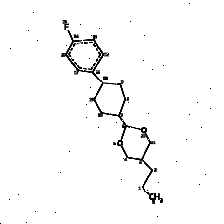 CCCC1COC(C2CCC(c3ccc(F)cc3)CC2)OC1